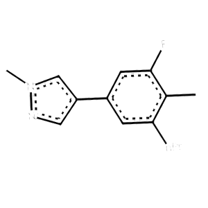 CCCc1cc(-c2cnn(C)c2)cc(F)c1C